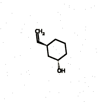 C=C[C@H]1CCC[C@H](O)C1